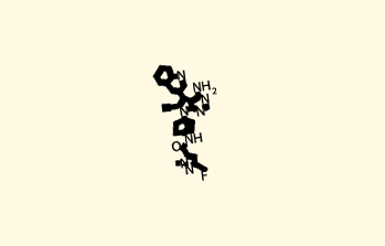 C#Cc1c(-c2cnc3ccccc3c2)c2c(N)ncnc2n1C12CCC(NC(=O)c3cc(CF)nn3C)(CC1)C2